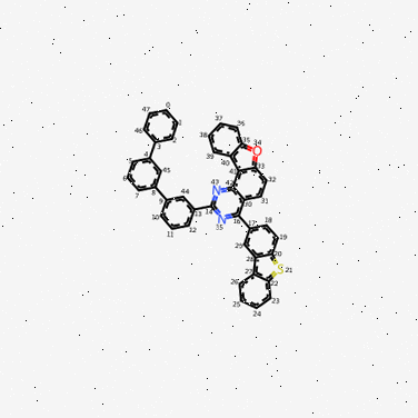 c1ccc(-c2cccc(-c3cccc(-c4nc(-c5ccc6sc7ccccc7c6c5)c5ccc6oc7ccccc7c6c5n4)c3)c2)cc1